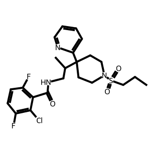 CCCS(=O)(=O)N1CCC(c2ccccn2)(C(C)CNC(=O)c2c(F)ccc(F)c2Cl)CC1